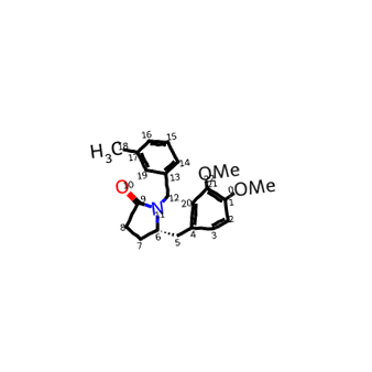 COc1ccc(C[C@@H]2CCC(=O)N2Cc2cccc(C)c2)cc1OC